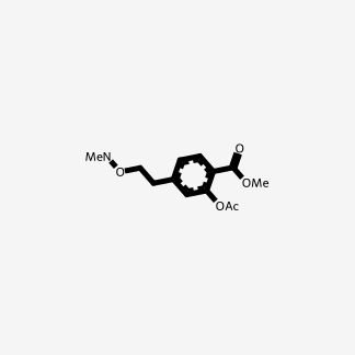 CNOCCc1ccc(C(=O)OC)c(OC(C)=O)c1